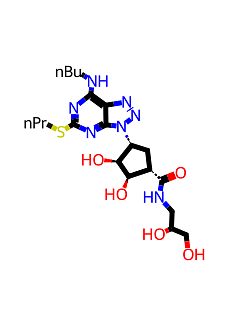 CCCCNc1nc(SCCC)nc2c1nnn2[C@@H]1C[C@H](C(=O)NCC(O)CO)[C@@H](O)[C@H]1O